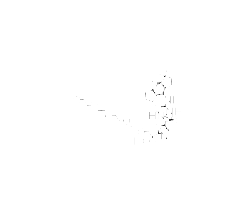 CC1(C)CCc2c1nc1c(c2NC(=O)NS(=N)(=O)c2cnc(C(C)(O)COCCOCCOCCOCCO)s2)CCC1